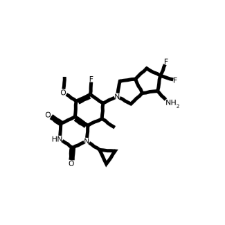 COC1=C(F)C(N2CC3CC(F)(F)C(N)C3C2)C(C)c2c1c(=O)[nH]c(=O)n2C1CC1